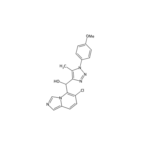 COc1ccc(-n2nnc(C(O)c3c(Cl)ccc4cncn34)c2C)cc1